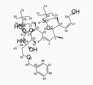 C/C(=C/[C@H](C)[C@@H](O[Si](C)(C)C(C)(C)C)[C@@H](C)/C=C\CO)C[C@H](C)[C@@H](O[Si](C)(C)C(C)(C)C)[C@@H](C)[C@](O)(NC(=O)O)[C@@H](C)COCc1ccccc1